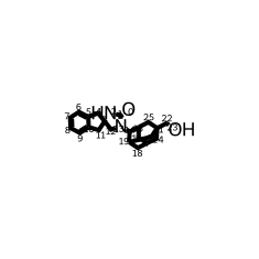 O=C1NC2(Cc3ccccc3C2)CN1C1C2CC3CC1CC(CO)(C3)C2